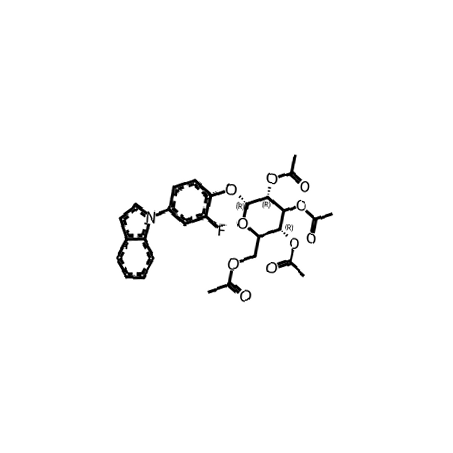 CC(=O)OCC1O[C@H](Oc2ccc(-n3ccc4ccccc43)cc2F)[C@H](OC(C)=O)C(OC(C)=O)[C@@H]1OC(C)=O